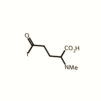 CNC(CCC(=O)I)C(=O)O